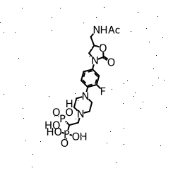 CC(=O)NCC1CN(c2ccc(N3CCN(CC(P(=O)(O)O)P(=O)(O)O)CC3)c(F)c2)C(=O)O1